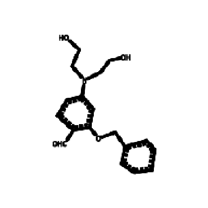 O=Cc1ccc(N(CCO)CCO)cc1OCc1ccccc1